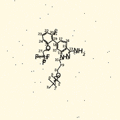 CC(C)(C)[Si](C)(C)OCCCn1nc(N)c2ccc(-c3c(F)cccc3OCC(F)(F)F)cc21